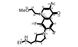 CCNCC1CCN(c2c(F)cc3c(=O)c(C(C)=O)cn(CCOC)c3c2F)C1